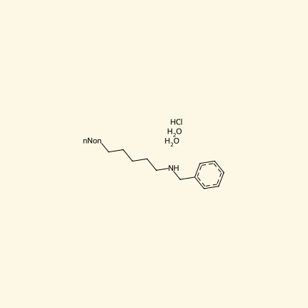 CCCCCCCCCCCCCCNCc1ccccc1.Cl.O.O